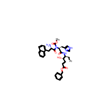 CC(C)C[C@H](NC(=O)[C@@H](Cc1c[nH]cn1)N(C(=O)OC(C)(C)C)C(=O)[C@@H](N)Cc1cccc2ccccc12)[C@@H](O)CCC(=O)OCc1ccccc1